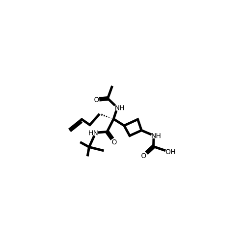 C=CCC[C@@](NC(C)=O)(C(=O)NC(C)(C)C)C1CC(NC(=O)O)C1